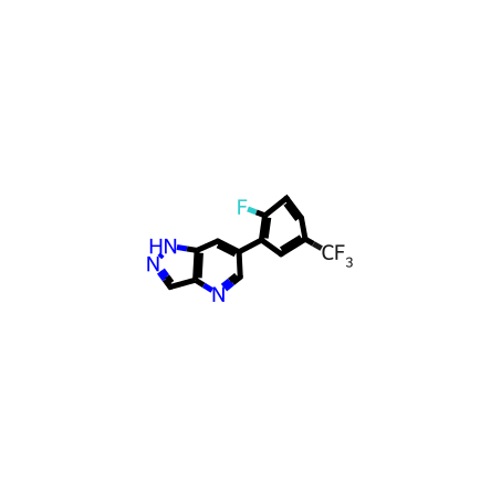 Fc1ccc(C(F)(F)F)cc1-c1cnc2cn[nH]c2c1